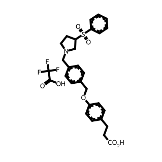 O=C(O)C(F)(F)F.O=C(O)CCc1ccc(OCc2ccc(CN3CCC(S(=O)(=O)c4ccccc4)C3)cc2)cc1